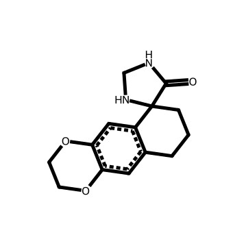 O=C1NCNC12CCCc1cc3c(cc12)OCCO3